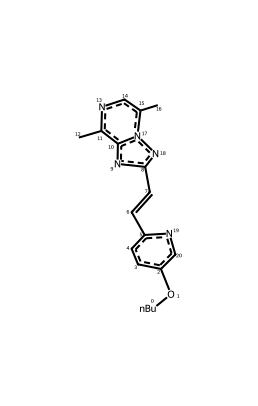 CCCCOc1ccc(/C=C/c2nc3c(C)ncc(C)n3n2)nc1